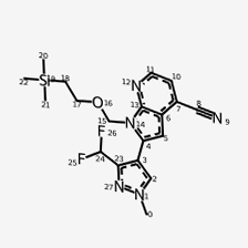 Cn1cc(-c2cc3c(C#N)ccnc3n2COCC[Si](C)(C)C)c(C(F)F)n1